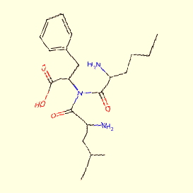 CCCCC(N)C(=O)N(C(=O)C(N)CC(C)C)C(Cc1ccccc1)C(=O)O